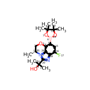 C[C@@H]1COc2c(B3OC(C)(C)C(C)(C)O3)cc(F)c3nc(C(C)(C)O)n1c23